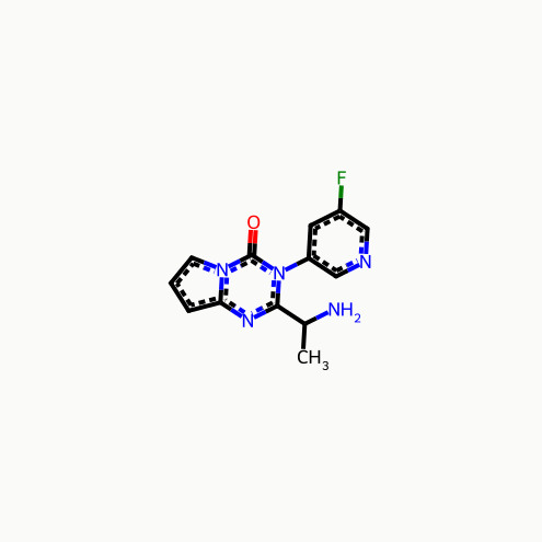 CC(N)c1nc2cccn2c(=O)n1-c1cncc(F)c1